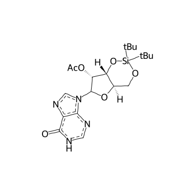 CC(=O)O[C@H]1C(n2cnc3c(=O)[nH]cnc32)O[C@@H]2CO[Si](C(C)(C)C)(C(C)(C)C)O[C@H]21